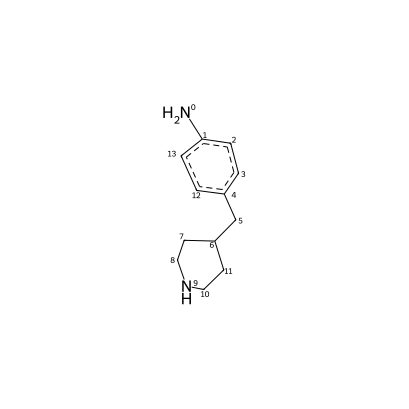 Nc1ccc(CC2CCNCC2)cc1